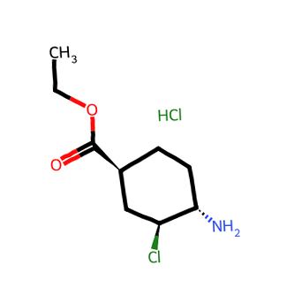 CCOC(=O)[C@H]1CC[C@H](N)[C@@H](Cl)C1.Cl